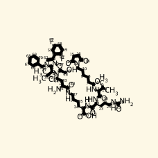 CC(C)[C@H](NC(=O)CCCCCN1C(=O)C=CC1=O)C(=O)N[C@@H](CCCNC(N)=O)C(=O)N[C@H](CCCCNC(=O)[C@@H](N)CCN(C(=O)CO)[C@@H](c1nc(-c2cc(F)ccc2F)cn1Cc1ccccc1)C(C)(C)C)C(=O)O